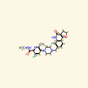 CNC(=O)c1nc(C)c(N2CCN(Cc3ccc4c5c(c(=O)[nH]c4c3F)CCO5)CC2)cc1F